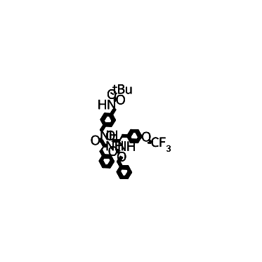 CC(C)(C)OC(=O)NCc1ccc(CNC(=O)[C@H](Cc2ccccc2)NC(=O)[C@@H](Cc2ccc(OCC(F)(F)F)cc2)NC(=O)OCc2ccccc2)cc1